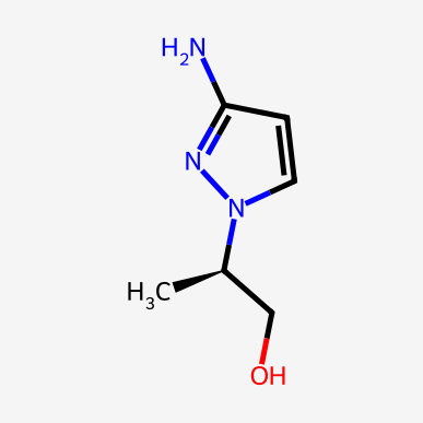 C[C@H](CO)n1ccc(N)n1